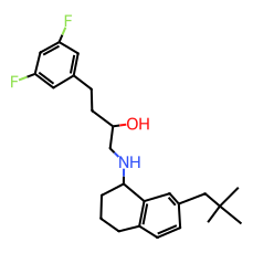 CC(C)(C)Cc1ccc2c(c1)C(NCC(O)CCc1cc(F)cc(F)c1)CCC2